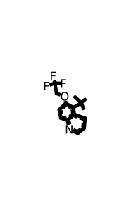 CC(C)(C)c1c(OCC(F)(F)F)ccc2ncccc12